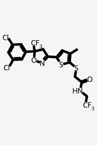 Cc1cc(C2=NOC(c3cc(Cl)cc(Cl)c3)(C(F)(F)F)C2)sc1SCC(=O)NCC(F)(F)F